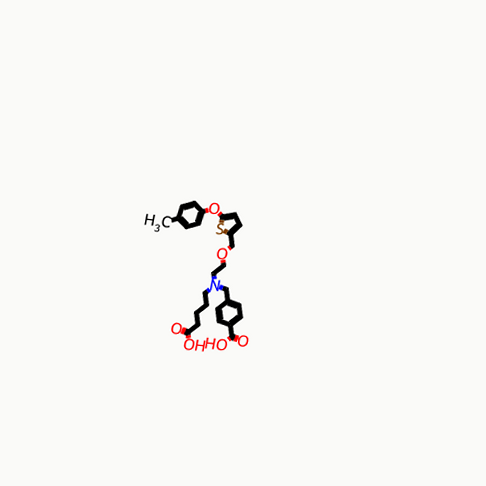 Cc1ccc(Oc2ccc(COCCN(CCCCC(=O)O)Cc3ccc(C(=O)O)cc3)s2)cc1